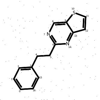 c1ccc(CCc2ncc3sccc3n2)cc1